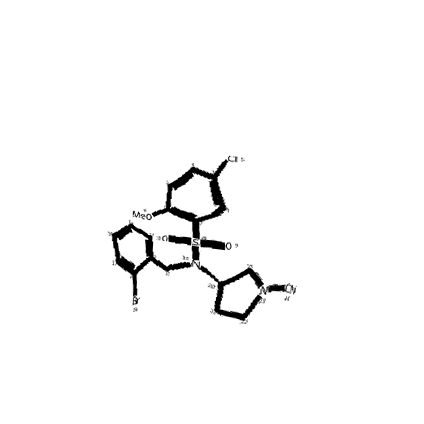 COc1ccc(Cl)cc1S(=O)(=O)N(Cc1ccccc1Br)[C@@H]1CCN(C#N)C1